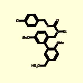 CCN(Cc1ccc(OC)cc1-c1cc(CC(=O)O)ccc1OC)C(=O)OCc1ccc(Cl)cc1